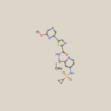 CCOc1cncc(-c2cnc(C(=O)N[C@@H](COC)c3cc(NS(=O)(=O)C4CC4)ccn3)s2)n1